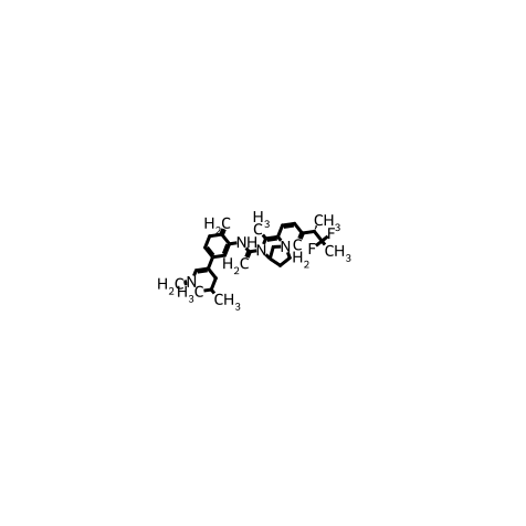 C=N/C=C(\CC(C)C)C1=CCC(=C)C(NC(=C)N2C(C)=C(/C=C\C(=C)[C@H](C)C(C)(F)F)N3CCC2C3)=C1